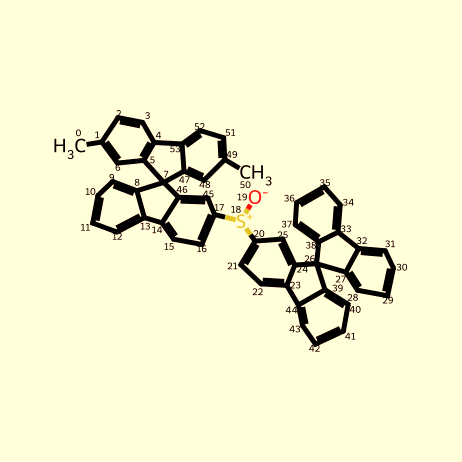 Cc1ccc2c(c1)C1(c3ccccc3-c3ccc([S+]([O-])c4ccc5c(c4)C4(c6ccccc6-c6ccccc64)c4ccccc4-5)cc31)c1cc(C)ccc1-2